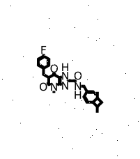 C/C=C(\C=C/C1C(C)CC1C)CNC(=O)c1nc2c([nH]1)C(=O)C(Cc1ccc(F)cc1)C(=O)N2C